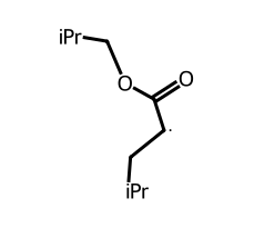 CC(C)C[CH]C(=O)OCC(C)C